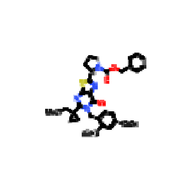 COCC1(c2nc3sc([C@H]4CCCN4C(=O)OCc4ccccc4)nc3c(=O)n2Cc2ccc(OC)cc2OC)CC1